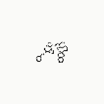 CC(C)C(C=CC(C(=O)N1CCCC1C(=O)OCc1ccccc1)C(C)C)C(=O)N1CCCC1C(=O)OCc1ccccc1